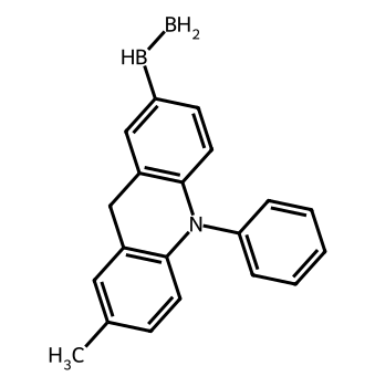 BBc1ccc2c(c1)Cc1cc(C)ccc1N2c1ccccc1